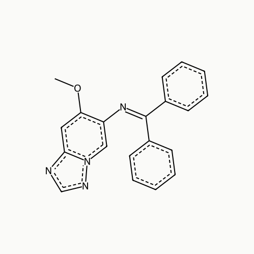 COc1cc2ncnn2cc1N=C(c1ccccc1)c1ccccc1